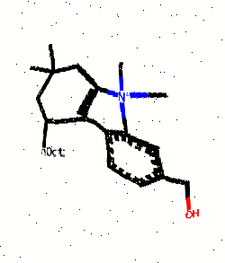 CCCCCCCCC1CC(C)(C)CC2=C1c1ccc(CO)cc1[N+]2(C)C